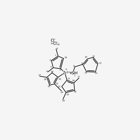 CC1=CC(C)[C]([Zr+2](=[SiH]Cc2ccccc2)([C]2=C(C)C=C(C)C2)[C]2=C(C)C=C(C)C2)=C1.[Cl-].[Cl-]